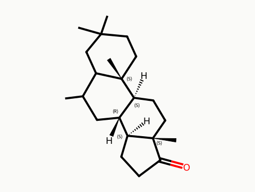 CC1C[C@@H]2[C@H](CC[C@]3(C)C(=O)CC[C@@H]23)[C@@]2(C)CCC(C)(C)CC12